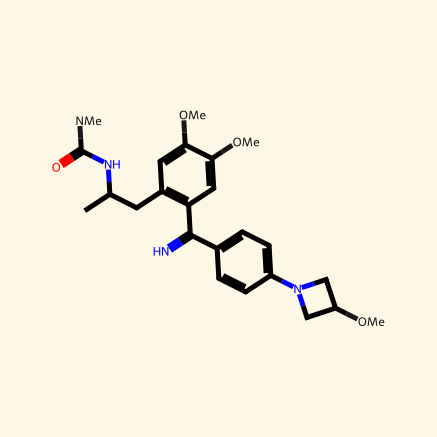 CNC(=O)NC(C)Cc1cc(OC)c(OC)cc1C(=N)c1ccc(N2CC(OC)C2)cc1